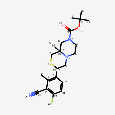 Cc1c([C@@H]2CN3CCN(C(=O)OC(C)(C)C)C[C@H]3CS2)ccc(F)c1C#N